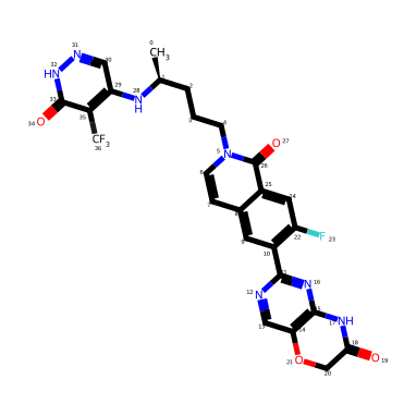 C[C@@H](CCCn1ccc2cc(-c3ncc4c(n3)NC(=O)CO4)c(F)cc2c1=O)Nc1cn[nH]c(=O)c1C(F)(F)F